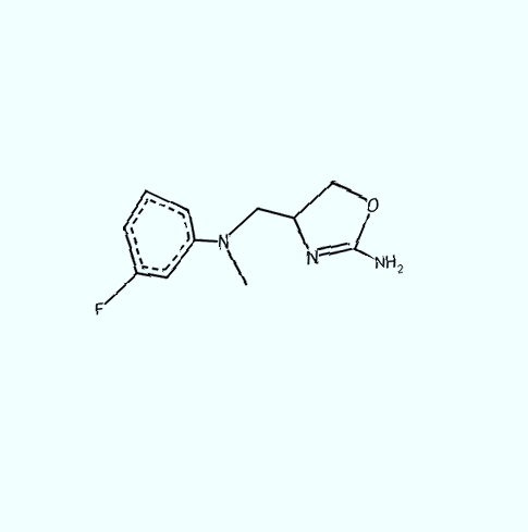 CN(CC1COC(N)=N1)c1cccc(F)c1